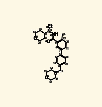 CCN(NC(=O)c1cc(-c2ccc(CN3CCOCC3)cc2)ccc1C)C1CCOCC1